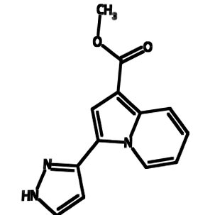 COC(=O)c1cc(-c2cc[nH]n2)n2ccccc12